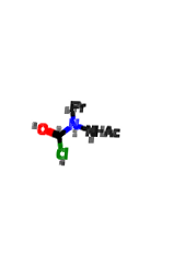 CC(=O)NN(C(=O)Cl)C(C)C